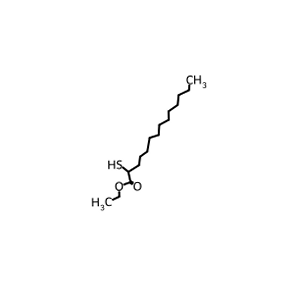 CCCCCCCCCCCCC(S)C(=O)OCC